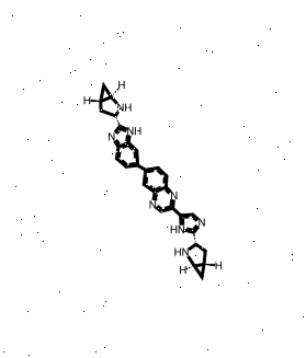 c1cc2nc(-c3cnc([C@@H]4C[C@@H]5C[C@H]5N4)[nH]3)cnc2cc1-c1ccc2nc([C@@H]3C[C@@H]4C[C@H]4N3)[nH]c2c1